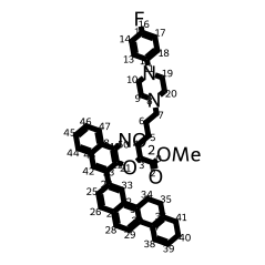 COC(=O)C(CCCCN1CCN(c2ccc(F)cc2)CC1)Oc1c(-c2ccc3ccc4c(c3c2)CCC2=C4C=CCC2)cc2ccccc2c1[N+](=O)[O-]